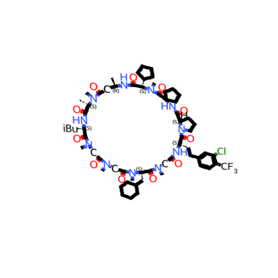 CCC(C)[C@@H]1NC(=O)[C@H](C)N(C)C(=O)C[C@@H](C)NC(=O)[C@H](C2CCCC2)N(C)C(=O)C2(CCCC2)NC(=O)[C@@H]2CCCN2C(=O)[C@H](CCc2ccc(C(F)(F)F)c(Cl)c2)NC(=O)CN(C)C(=O)[C@H](CC2CCCCC2)N(C)C(=O)CN(C)C(=O)CN(C)C1=O